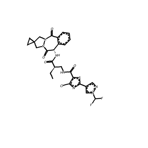 CC[C@H](CNC(=O)c1sc(-c2cnn(C(F)F)c2)nc1Cl)C(=O)N[C@@H]1C(=O)N2CC3(CC3)CN2C(=O)c2ccccc21